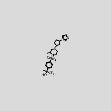 CC1CN(C2CCC(n3ccnc3)C2)CCN1S(=O)(=O)c1ccc(C(C)(O)C(F)(F)F)cc1